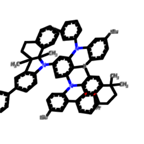 CC(C)C1CCC(C)(C)c2cc3c(cc21)N(c1ccc(C(C)(C)C)cc1-c1ccccc1)c1cc(N2c4ccc(-c5ccccc5)cc4C4(C)CCc5ccccc5C24C)cc2c1B3c1ccc(C(C)(C)C)cc1N2c1cccc(C(C)(C)C)c1